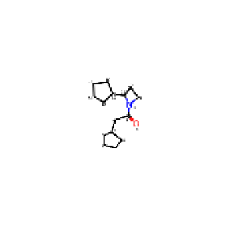 O=C(CC1CCCC1)N1CCC1C1CCCC1